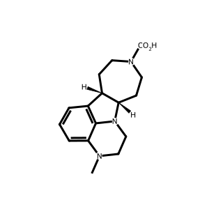 CN1CCN2c3c(cccc31)[C@@H]1CCN(C(=O)O)CC[C@@H]12